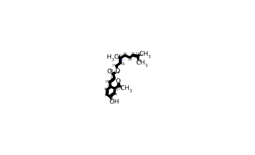 CC(=O)C1C=C(O)C=CC1C=CC(=O)OC/C=C(\C)CCC=C(C)C